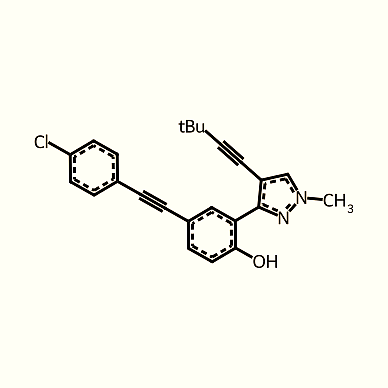 Cn1cc(C#CC(C)(C)C)c(-c2cc(C#Cc3ccc(Cl)cc3)ccc2O)n1